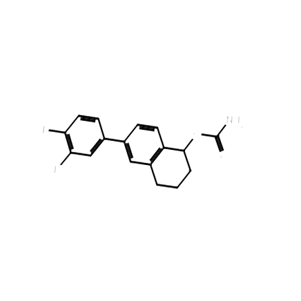 NC(=O)OC1CCCc2cc(-c3ccc(F)c(F)c3)ccc21